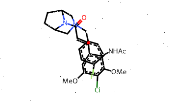 COc1cc(C=CC(=O)N2C3CCC2CN(Cc2ccc(F)cc2)C3)c(NC(C)=O)c(OC)c1Cl